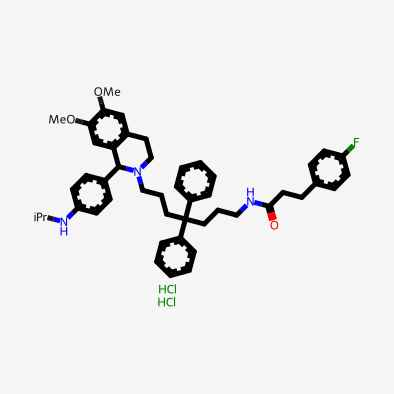 COc1cc2c(cc1OC)C(c1ccc(NC(C)C)cc1)N(CCCC(CCCNC(=O)CCc1ccc(F)cc1)(c1ccccc1)c1ccccc1)CC2.Cl.Cl